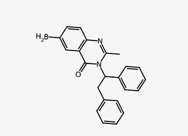 Bc1ccc2nc(C)n(C(Cc3ccccc3)c3ccccc3)c(=O)c2c1